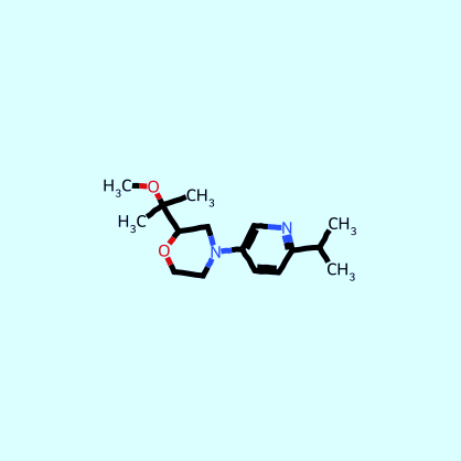 COC(C)(C)C1CN(c2ccc(C(C)C)nc2)CCO1